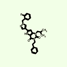 CC(C)Cn1c(=O)n(CCc2ccccc2)c(=O)c2[nH]c(-c3cnn(Cc4ccccc4F)c3)cc21